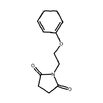 O=C1CCC(=O)N1CCOC1=CC[CH]C=C1